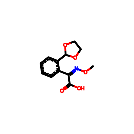 CON=C(C(=O)O)c1ccccc1C1OCCO1